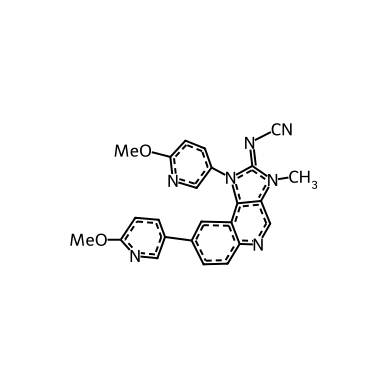 COc1ccc(-c2ccc3ncc4c(c3c2)n(-c2ccc(OC)nc2)c(=NC#N)n4C)cn1